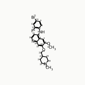 COc1cc2c(Nc3ccc(Br)cc3F)ccnc2cc1OCC1CCN(C)CC1